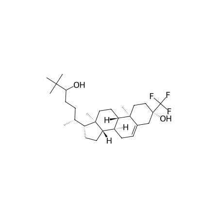 C[C@H](CCC(O)C(C)(C)C)[C@H]1CC[C@H]2[C@@H]3CC=C4C[C@](O)(C(F)(F)F)CC[C@]4(C)[C@H]3CC[C@]12C